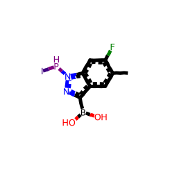 Cc1cc2c(B(O)O)nn(PI)c2cc1F